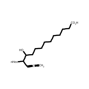 C=C=CC(CCCCCC)C(O)CCCCCCCCCC(=O)O